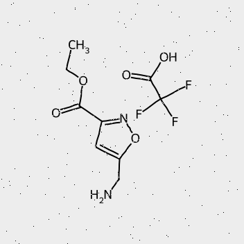 CCOC(=O)c1cc(CN)on1.O=C(O)C(F)(F)F